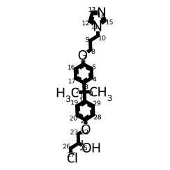 CC(C)(c1ccc(OCCCn2ccnc2)cc1)c1ccc(OCC(O)CCl)cc1